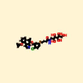 O=C(CCCSc1ccc(Cl)c(COC2(c3cnccc3-c3ccccc3OC3CC3)CC2)c1)NC[C@H](O)[C@@H](O)[C@H](O)[C@H](O)CO